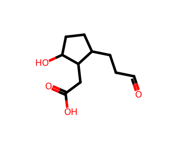 O=CCCC1CCC(O)C1CC(=O)O